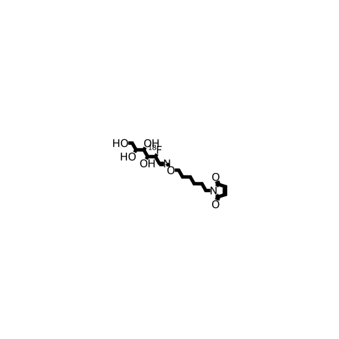 O=C1C=CC(=O)N1CCCCCCO/N=C/C([18F])C(O)C(O)C(O)CO